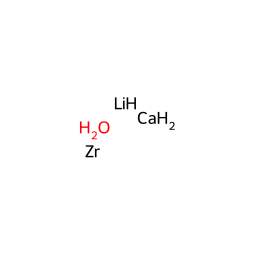 O.[CaH2].[LiH].[Zr]